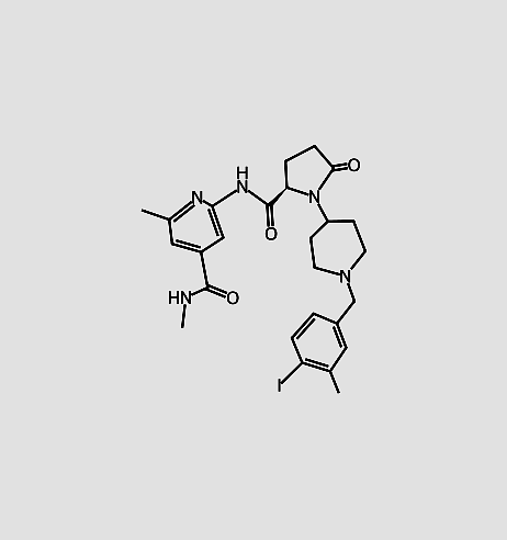 CNC(=O)c1cc(C)nc(NC(=O)[C@H]2CCC(=O)N2C2CCN(Cc3ccc(I)c(C)c3)CC2)c1